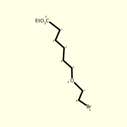 CCOC(=O)CCCCCOCCBr